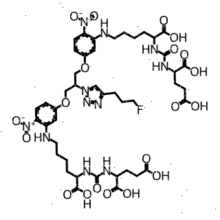 O=C(O)CCC(NC(=O)NC(CCCCNc1cc(OCC(COc2ccc([N+](=O)[O-])c(NCCCCC(NC(=O)NC(CCC(=O)O)C(=O)O)C(=O)O)c2)n2cc(CCCF)nn2)ccc1[N+](=O)[O-])C(=O)O)C(=O)O